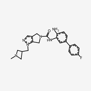 CN1CC(Cn2ncc3c2CN(C(=O)Nc2cc(-c4ccc(F)cc4)ccc2N)C3)C1